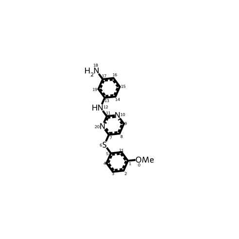 COc1cccc(Sc2ccnc(Nc3cccc(N)c3)n2)c1